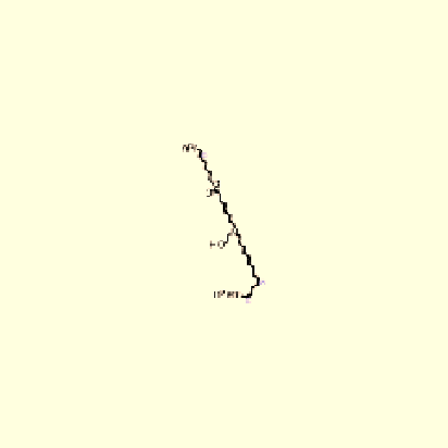 CCC/C=C/CCCCOC(=O)CCCCCCCN(CCO)CCCCCCCC/C=C\C/C=C\CCCCC